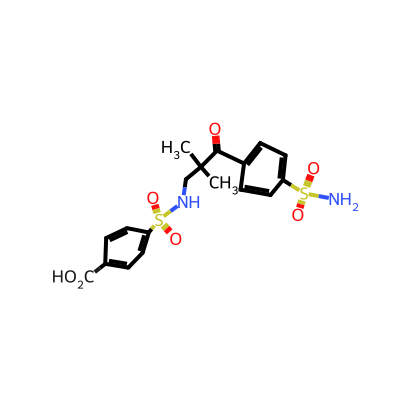 CC(C)(CNS(=O)(=O)c1ccc(C(=O)O)cc1)C(=O)c1ccc(S(N)(=O)=O)cc1